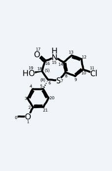 COc1ccc([C@H]2Sc3cc(Cl)ccc3NC(=O)[C@@H]2O)cc1